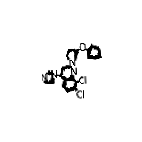 Clc1ccc2c(-n3ccnc3)cc(N3CC[C@@H](Oc4ccccc4)C3)nc2c1Cl